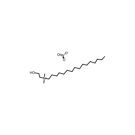 CCCCCCCCCCCCCCCC[N+](C)(C)CCO.O=[N+]([O-])[O-]